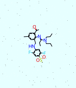 CCCN(CCC)/C(CC)=N/c1c(CNc2cc(F)c(S(C)(=O)=O)cc2F)cc(C)cc1C(C)=O